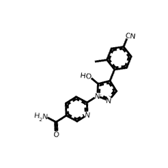 Cc1cc(C#N)ccc1-c1cnn(-c2ccc(C(N)=O)cn2)c1O